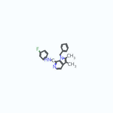 Cc1c(C)n(Cc2ccccc2)c2c(CNc3ccc(F)cc3)nccc12